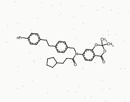 CCCc1ccc(CCc2ccc(CN(C(=O)CCC3CCCC3)c3ccc4c(c3)OC(C)(C)OC4=O)cc2)cc1